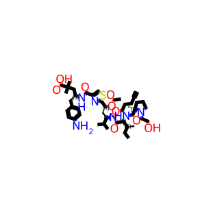 C#CCCCON(C(=O)[C@@H](NC(=O)[C@@]1(C)CCCN1CCO)[C@@H](C)CC)[C@H](C[C@@H](OC(C)=O)c1nc(C(=O)N[C@@H](Cc2ccc(N)cc2)CC(C)(C)C(=O)O)cs1)C(C)C